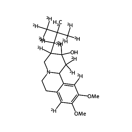 [2H]c1c2c(c([2H])c(OC)c1OC)C1N(CC2)CC([2H])(C([2H])([2H])C(C)(C([2H])([2H])[2H])C([2H])([2H])[2H])C([2H])(O)C1([2H])[2H]